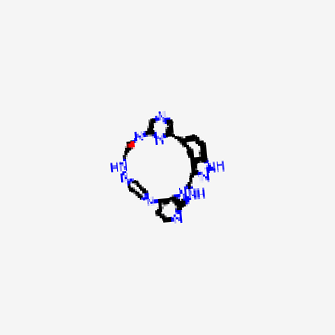 c1cc2c3nc([nH]c3n1)-c1n[nH]c3ccc(cc13)-c1cncc(n1)N1CC(C1)NN1CCN2CC1